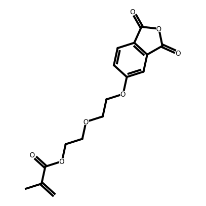 C=C(C)C(=O)OCCOCCOc1ccc2c(c1)C(=O)OC2=O